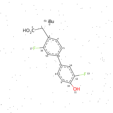 CC[C@H](C)C(C(=O)O)c1ccc(-c2ccc(O)c(F)c2)cc1F